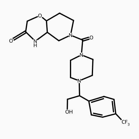 O=C1COC2CCN(C(=O)N3CCN(C(CO)c4ccc(C(F)(F)F)cc4)CC3)CC2N1